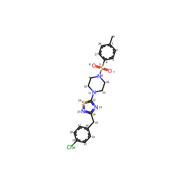 Cc1ccc(S(=O)(=O)N2CCN(c3nc(Cc4ccc(Cl)cc4)ns3)CC2)cc1